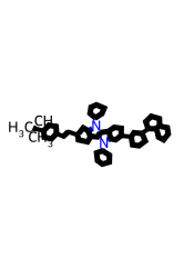 CC(C)(C)c1ccc(/C=C/c2ccc3c(c2)n(-c2ccccc2)c2c4ccc(-c5cccc(-c6cccc7ccccc67)c5)cc4n(-c4ccccc4)c32)cc1